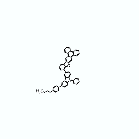 CCCCc1ccc(-c2ccc3c(c2)c2cc(-c4cccc5c4oc4cc6c7ccccc7c7ccccc7c6cc45)ccc2n3-c2ccccc2)cc1